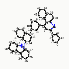 c1ccc(-c2cc(-c3cccc(-c4ccc(-n5c6ccccc6c6ccccc65)c5ccccc45)c3)c3c(ccc4ccccc43)n2)cc1